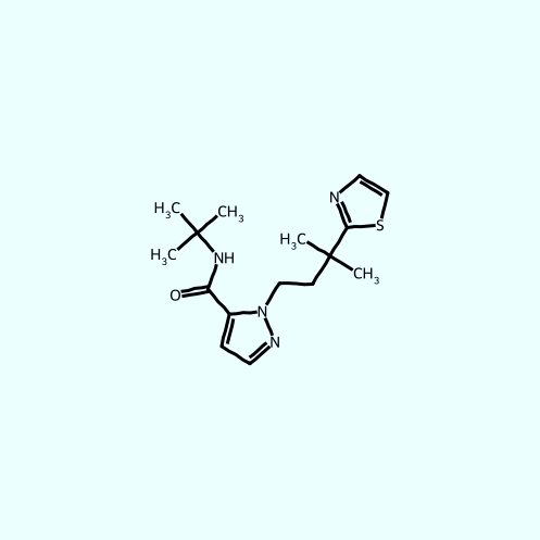 CC(C)(C)NC(=O)c1ccnn1CCC(C)(C)c1nccs1